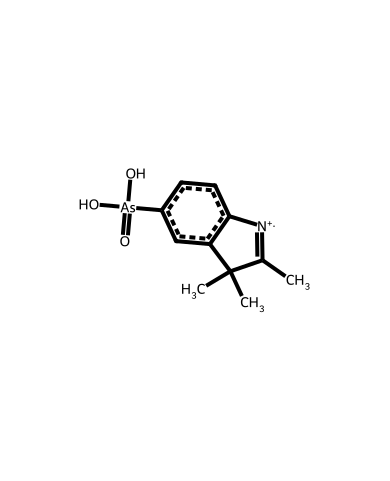 CC1=[N+]c2ccc([As](=O)(O)O)cc2C1(C)C